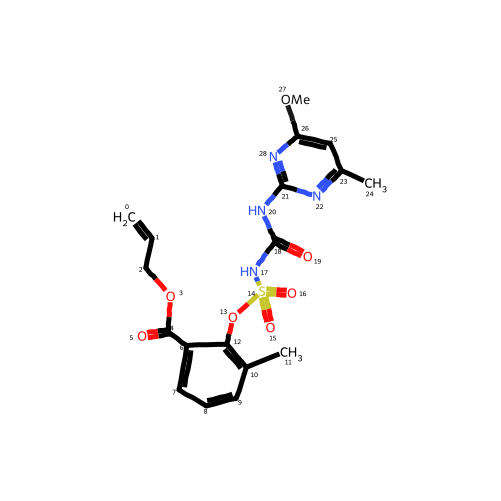 C=CCOC(=O)c1cccc(C)c1OS(=O)(=O)NC(=O)Nc1nc(C)cc(OC)n1